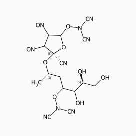 C[C@@H](CC(ON(C#N)C#N)C(O)[C@@H](O)CO)O[C@]1(C#N)OC(ON(C#N)C#N)C(N=O)C1N=O